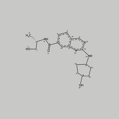 C[C@@H](CO)NC(=O)c1ccc2cnc(NC3CCC(O)CC3)nc2c1